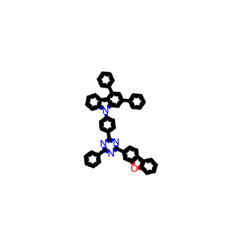 c1ccc(-c2cc(-c3ccccc3)c3c4ccccc4n(-c4ccc(-c5nc(-c6ccccc6)nc(-c6ccc7c(c6)oc6ccccc67)n5)cc4)c3c2)cc1